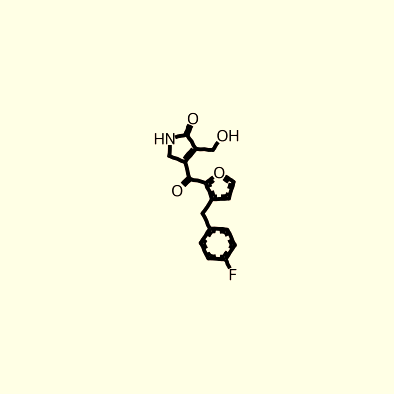 O=C1NCC(C(=O)c2occc2Cc2ccc(F)cc2)=C1CO